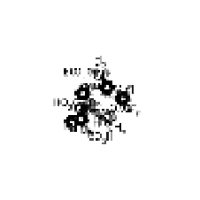 CCOC(=O)C(C)OC(=O)c1cc(Oc2ccc(C(F)(F)F)cc2Cl)ccc1[N+](=O)[O-].COc1nc(C)nc(NC(=O)NS(=O)(=O)c2cc(I)ccc2C(=O)O)n1.O=C(O)COc1ccc(Cl)c2cccnc12